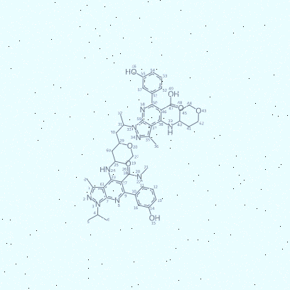 Cc1nn(C(C)C)c2nc(-c3cccc(O)c3)c(C(=O)N(C)C)c(NC3CCOC(CC(C)n4nc(C)c5c(NC6CCOCC6)c(C(=O)O)c(-c6cccc(O)c6)nc54)C3)c12